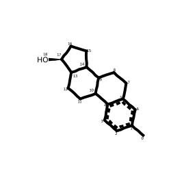 Cc1ccc2c(c1)CCC1C2CCC2C1CC[C@@H]2O